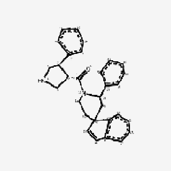 O=C([C@@H]1CNC[C@H]1c1ccccc1)N1CCC2(C=Cc3ccccc32)CC1c1ccccc1